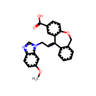 COc1ccc2ncn(C/C=C3/c4ccccc4COc4ccc(C(=O)O)cc43)c2c1